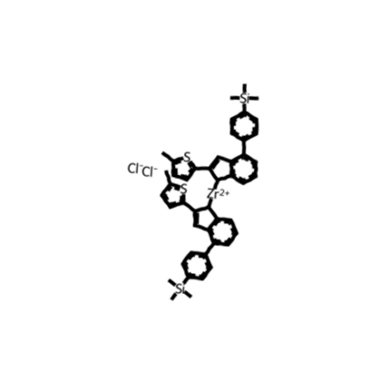 Cc1ccc(C2=Cc3c(-c4ccc([Si](C)(C)C)cc4)cccc3[CH]2[Zr+2][CH]2C(c3ccc(C)s3)=Cc3c(-c4ccc([Si](C)(C)C)cc4)cccc32)s1.[Cl-].[Cl-]